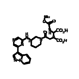 CC(C)(C)OC(=O)NC(C(=O)O)N(CC(=O)N1CCC[C@@H](Nc2cncc(-c3cnn4ccccc34)n2)C1)C(=O)O